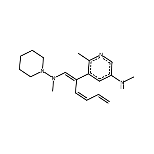 C=C/C=C\C(=C/N(C)N1CCCCC1)c1cc(NC)cnc1C